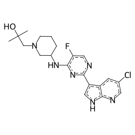 CC(C)(O)CN1CCCC(Nc2nc(-c3c[nH]c4ncc(Cl)cc34)ncc2F)C1